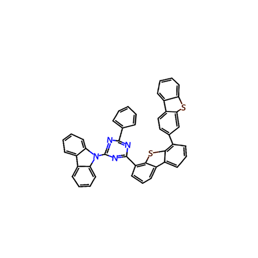 c1ccc(-c2nc(-c3cccc4c3sc3c(-c5ccc6c(c5)sc5ccccc56)cccc34)nc(-n3c4ccccc4c4ccccc43)n2)cc1